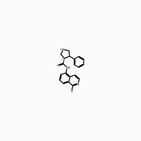 O=C(Nc1cccc2c(Cl)nccc12)[C@H]1CNCC1c1ccccc1